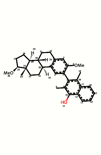 COc1cc2c(cc1-c1c(C)c(O)c3ccccc3c1C)[C@H]1CC[C@]3(C)[C@@H](OC)CC[C@H]3[C@@H]1CC2